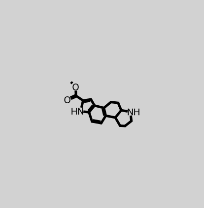 COC(=O)c1cc2c3c(ccc2[nH]1)C1CCCNC1CC3